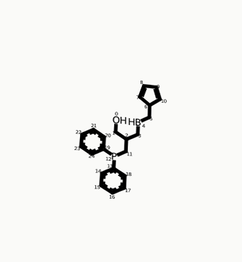 OCC(CBCC1C=CC=C1)CP(c1ccccc1)c1ccccc1